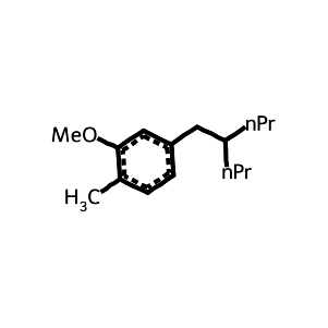 CCCC(CCC)Cc1ccc(C)c(OC)c1